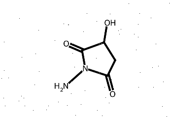 NN1C(=O)CC(O)C1=O